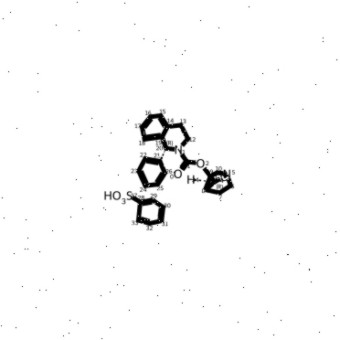 O=C(O[C@H]1CN2CCC1CC2)N1CCc2ccccc2[C@H]1c1ccccc1.O=S(=O)(O)c1ccccc1